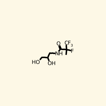 CC(F)(C(=O)NCC(O)CO)C(F)(F)F